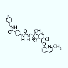 Cc1ccc2cccc(OCc3c(Cl)ccc(N(C)C(=O)CNC(=O)Nc4ccc(C(=O)NCc5ccncc5)cc4)c3Cl)c2n1